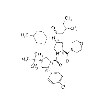 CCC(C)CC(=O)N(C1CCC(C)CC1)[C@H]1C[C@@H](C(=O)N2CCOCC2)N(C(=O)[C@@H]2CN(C(C)(C)C)C[C@H]2c2ccc(Cl)cc2)C1